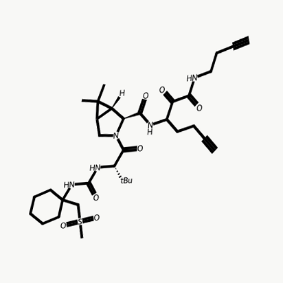 C#CCCNC(=O)C(=O)C(CCC#C)NC(=O)[C@@H]1[C@@H]2C(CN1C(=O)[C@@H](NC(=O)NC1(CS(C)(=O)=O)CCCCC1)C(C)(C)C)C2(C)C